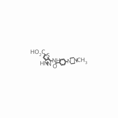 CN1CCN(c2ccc(C(=O)Nc3n[nH]c4cc(C(=O)O)sc34)cc2)CC1